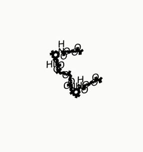 C=C(C)C(=O)OCCOC(=O)NC1CC(C)(C)CC(C)(CNC(=O)OCCC(C)OCCC(C)(C)OC(=O)NCC2(C)CC(NC(=O)OCCOC(=O)C(=C)C)CC(C)(C)C2)C1